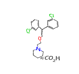 O=C(O)[C@@H]1CCCN(CCOC=C(c2cccc(Cl)c2)c2cccc(Cl)c2)C1